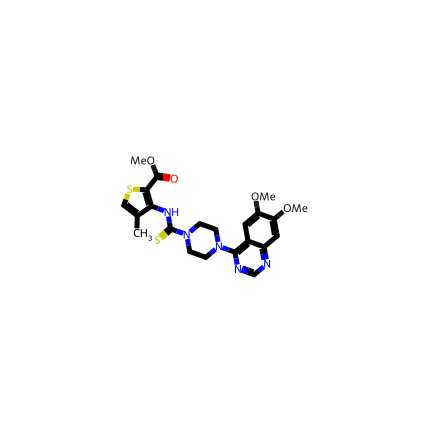 COC(=O)c1scc(C)c1NC(=S)N1CCN(c2ncnc3cc(OC)c(OC)cc23)CC1